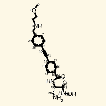 COCCNCc1ccc(C#Cc2ccc(C(=O)N[C@@H](CN)C(=O)NO)cc2)cc1